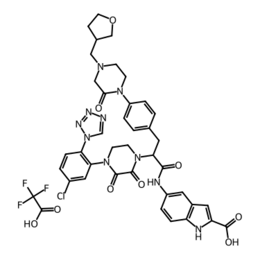 O=C(O)C(F)(F)F.O=C(O)c1cc2cc(NC(=O)C(Cc3ccc(N4CCN(CC5CCOC5)CC4=O)cc3)N3CCN(c4cc(Cl)ccc4-n4cnnn4)C(=O)C3=O)ccc2[nH]1